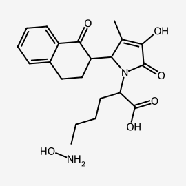 CCCCC(C(=O)O)N1C(=O)C(O)=C(C)C1C1CCc2ccccc2C1=O.NO